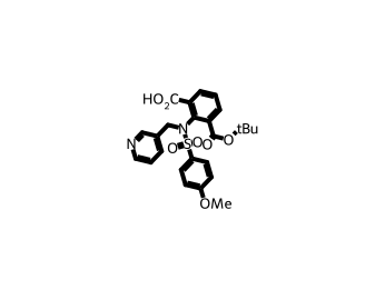 COc1ccc(S(=O)(=O)N(Cc2cccnc2)c2c(C(=O)O)cccc2C(=O)OC(C)(C)C)cc1